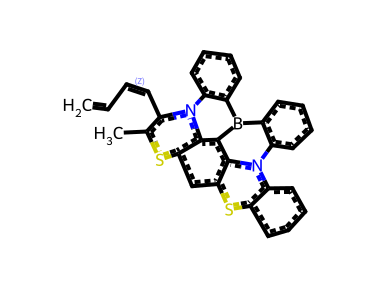 C=C/C=C\c1c(C)sc2cc3sc4ccccc4n4c3c3c2n1-c1ccccc1B3c1ccccc1-4